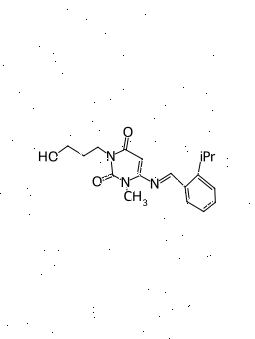 CC(C)c1ccccc1/C=N/c1cc(=O)n(CCCO)c(=O)n1C